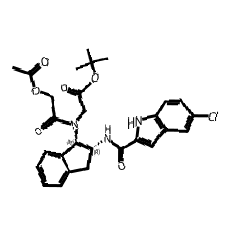 CC(=O)OCC(=O)N(CC(=O)OC(C)(C)C)[C@@H]1c2ccccc2C[C@H]1NC(=O)c1cc2cc(Cl)ccc2[nH]1